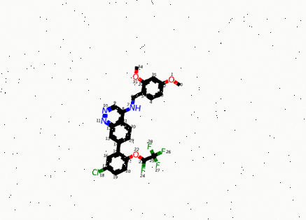 COc1ccc(CNc2cnnc3cc(-c4cc(Cl)ccc4OC(F)C(F)(F)F)ccc23)c(OC)c1